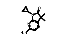 CC1(C)C(=O)N(C2CC2)c2nc(N)ccc21